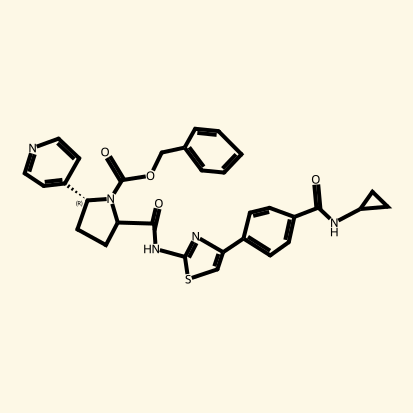 O=C(NC1CC1)c1ccc(-c2csc(NC(=O)C3CC[C@H](c4ccncc4)N3C(=O)OCc3ccccc3)n2)cc1